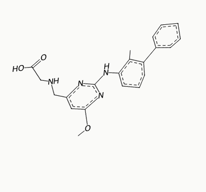 COc1cc(CNCC(=O)O)nc(Nc2cccc(-c3ccccc3)c2C)n1